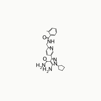 Cc1ccccc1C(=O)NCc1ccc(-c2nn(C3CCCC3)c(N)c2C(N)=O)cn1